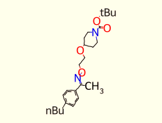 CCCCc1ccc(C(C)=NOCCOC2CCN(C(=O)OC(C)(C)C)CC2)cc1